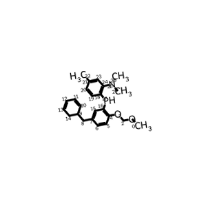 COCOc1ccc(CC2C=CC=CC2)cc1Pc1ccc(C)cc1N(C)C